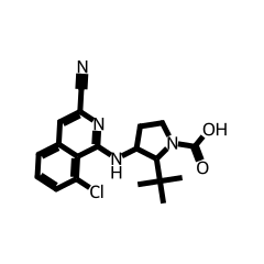 CC(C)(C)C1C(Nc2nc(C#N)cc3cccc(Cl)c23)CCN1C(=O)O